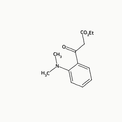 CCOC(=O)CC(=O)c1ccccc1N(C)C